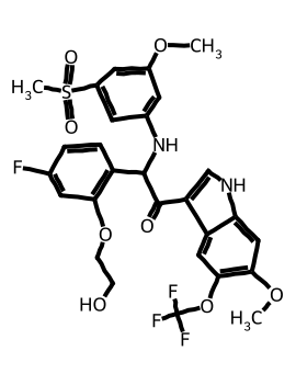 COc1cc(NC(C(=O)c2c[nH]c3cc(OC)c(OC(F)(F)F)cc23)c2ccc(F)cc2OCCO)cc(S(C)(=O)=O)c1